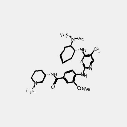 COc1cc(C(=O)N[C@H]2CCCN(C)C2)ccc1Nc1ncc(C(F)(F)F)c(N[C@@H]2CCCC[C@H]2N(C)C(C)=O)n1